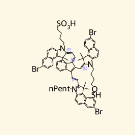 CCCCC[N+]1=C(/C=C/C2=C(/C=C3/N(CCCCOS)c4ccc5cc(Br)ccc5c4C3(C)C)C(=C/C=C3/N(CCCCS(=O)(=O)O)c4ccc5cc(Br)ccc5c4C3(C)C)/c3ccccc32)C(C)(C)c2c1ccc1cc(Br)ccc21